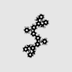 CC1(C)c2ccccc2N2c3ccccc3C(C)(C)c3cc(-c4ccc5c(c4)c4cc(-c6ccc7c(c6)c6cc(-c8cc9c%10c(c8)C(C)(C)c8ccccc8N%10c8ccccc8C9(C)C)ccc6n7-c6ccccc6)ccc4n5-c4ccccc4)cc1c32